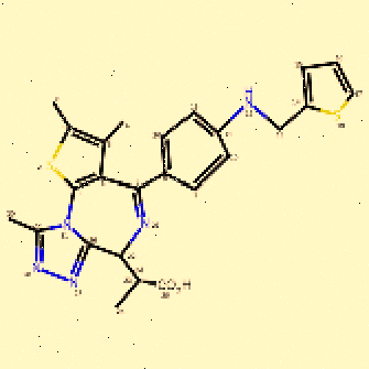 Cc1sc2c(c1C)C(c1ccc(NCc3cccs3)cc1)=NC([C@H](C)C(=O)O)c1nnc(C)n1-2